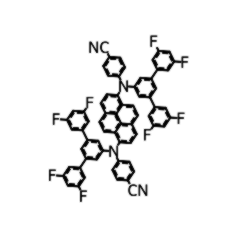 N#Cc1ccc(N(c2cc(-c3cc(F)cc(F)c3)cc(-c3cc(F)cc(F)c3)c2)c2ccc3ccc4c(N(c5ccc(C#N)cc5)c5cc(-c6cc(F)cc(F)c6)cc(-c6cc(F)cc(F)c6)c5)ccc5ccc2c3c54)cc1